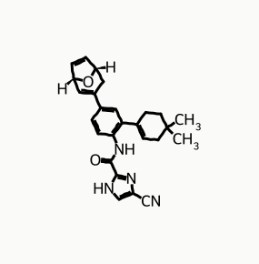 CC1(C)CC=C(c2cc(C3=C[C@@H]4C=C[C@H](C3)O4)ccc2NC(=O)c2nc(C#N)c[nH]2)CC1